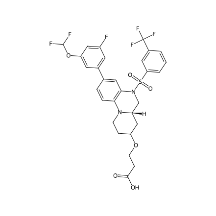 O=C(O)CCOC1CCN2c3ccc(-c4cc(F)cc(OC(F)F)c4)cc3N(S(=O)(=O)c3cccc(C(F)(F)F)c3)C[C@@H]2C1